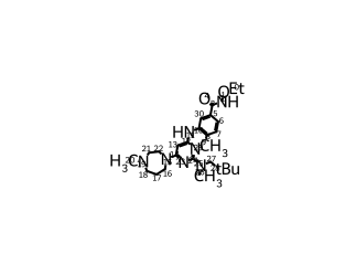 CCONC(=O)c1ccc(C)c(Nc2cc(N3CCCN(C)CC3)nc(N(C)CC(C)(C)C)n2)c1